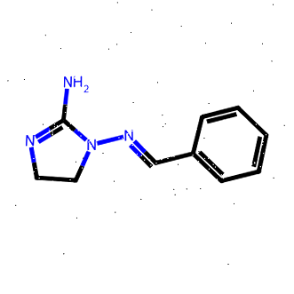 NC1=NCCN1N=Cc1ccccc1